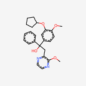 COc1ccc(C(O)(Cc2nccnc2OC)c2ccccc2)cc1OC1CCCC1